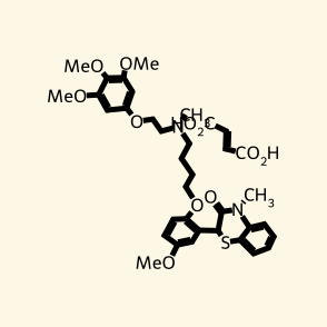 COc1ccc(OCCCCN(C)CCOc2cc(OC)c(OC)c(OC)c2)c(C2Sc3ccccc3N(C)C2=O)c1.O=C(O)C=CC(=O)O